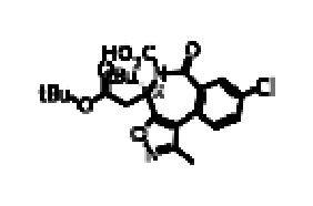 Cc1noc2c1-c1ccc(Cl)cc1C(=O)N(C(=O)O)[C@@]2(CC(=O)OC(C)(C)C)C(C)(C)C